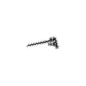 CCCCCCCCCCCCCCCCCCNC(=O)OC1SCC1CC(CCCBr)CC(=O)O